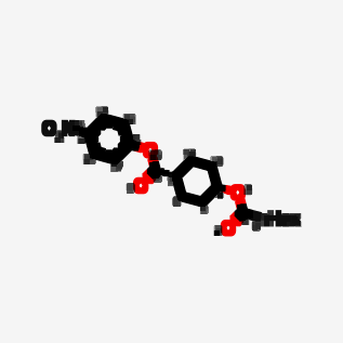 CCCCCCC(=O)O[C@H]1CC[C@H](C(=O)Oc2ccc([N+](=O)[O-])cc2)CC1